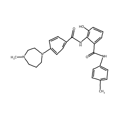 Cc1ccc(NC(=O)c2cccc(O)c2NC(=O)c2ccc(N3CCCN(C)CC3)cc2)cc1